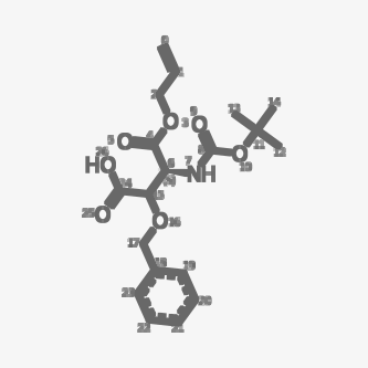 C=CCOC(=O)[C@@H](NC(=O)OC(C)(C)C)C(OCc1ccccc1)C(=O)O